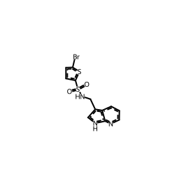 O=S(=O)(NCc1c[nH]c2ncccc12)c1ccc(Br)s1